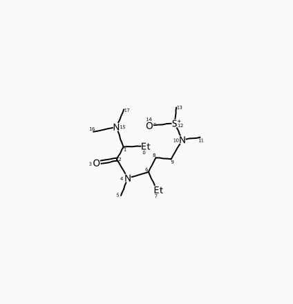 CCC(C(=O)N(C)C(CC)CCN(C)[S+](C)[O-])N(C)C